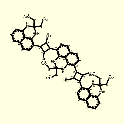 CC(=O)OCC1(COC(C)=O)Nc2cccc3ccc(C4C(O)C(c5ccc6ccc(C7C(O)C(c8ccc9cccc%10c9c8NC(COC(C)=O)(COC(C)=O)N%10)C7O)c7c6c5NC(COC(C)=O)(COC(C)=O)N7)C4O)c(c23)N1